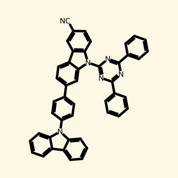 N#Cc1ccc2c(c1)c1ccc(-c3ccc(-n4c5ccccc5c5ccccc54)cc3)cc1n2-c1nc(-c2ccccc2)nc(-c2ccccc2)n1